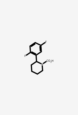 O=C(O)N1CCCCC1c1cc(F)ccc1F